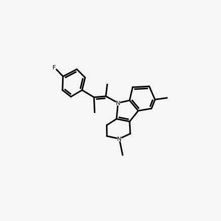 CC(=C(C)n1c2c(c3cc(C)ccc31)CN(C)CC2)c1ccc(F)cc1